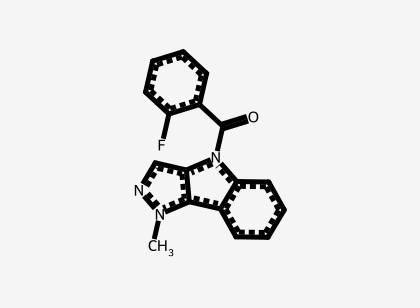 Cn1ncc2c1c1ccccc1n2C(=O)c1ccccc1F